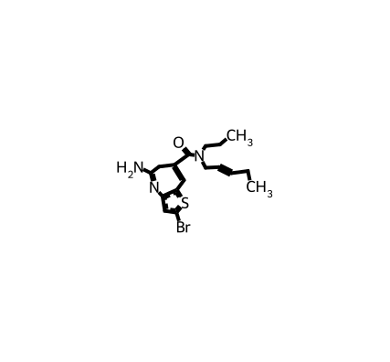 CCC#CCN(CCC)C(=O)C1=Cc2sc(Br)cc2N=C(N)C1